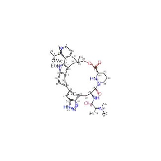 CCn1c(-c2cccnc2[C@H](C)OC)c2c3cc(ccc31)-c1cc(c3nn[nH]c3c1)C[C@H](NC(=O)C(C(C)C)N(C)C(C)=O)C(=O)N1CCC[C@H](N1)C(=O)OCC(C)(C)C2